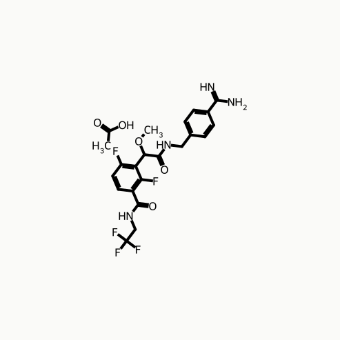 CC(=O)O.COC(C(=O)NCc1ccc(C(=N)N)cc1)c1c(F)ccc(C(=O)NCC(F)(F)F)c1F